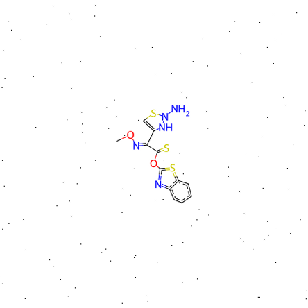 CON=C(C(=S)Oc1nc2ccccc2s1)C1=CSN(N)N1